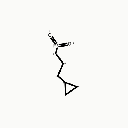 O=[SH](=O)CCCC1CC1